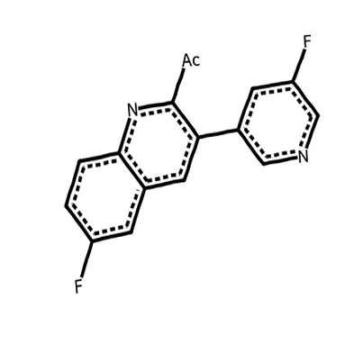 CC(=O)c1nc2ccc(F)cc2cc1-c1cncc(F)c1